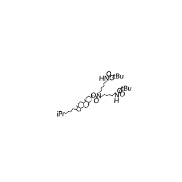 CC(C)CCCCC1CCC2C3CC=C4CC(OC(=O)N(CCCCCCNC(=O)OC(C)(C)C)CCCCCCNC(=O)OC(C)(C)C)CCC4(C)C3CCC12C